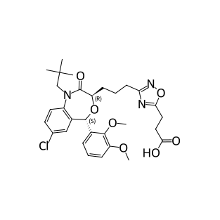 COc1cccc([C@H]2O[C@H](CCCc3noc(CCC(=O)O)n3)C(=O)N(CC(C)(C)C)c3ccc(Cl)cc32)c1OC